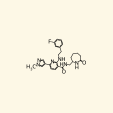 Cn1cc(-c2ccc(C(=O)NCC3CCCCC(=O)N3)c(NCCc3cccc(F)c3)n2)cn1